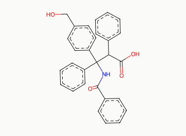 O=C(NC(c1ccccc1)(c1ccc(CO)cc1)C(C(=O)O)c1ccccc1)c1ccccc1